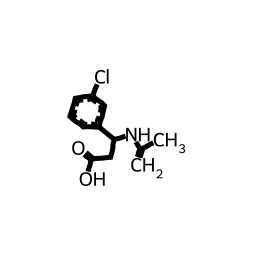 C=C(C)NC(CC(=O)O)c1cccc(Cl)c1